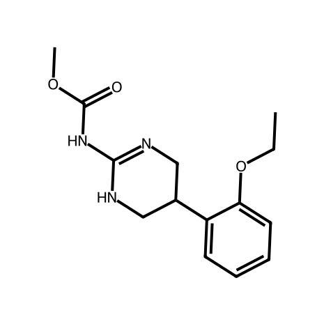 CCOc1ccccc1C1CN=C(NC(=O)OC)NC1